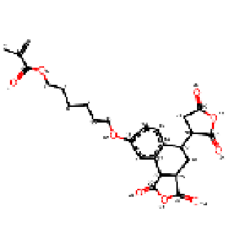 C=C(C)C(=O)OCCCCCCOc1ccc2c(c1)C1C(=O)OC(=O)C1CC2C1CC(=O)OC1=O